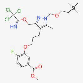 COC(=O)c1ccc(F)c(OCCCc2c(COC(=N)C(Cl)(Cl)Cl)nn(COCC[Si](C)(C)C)c2C)c1